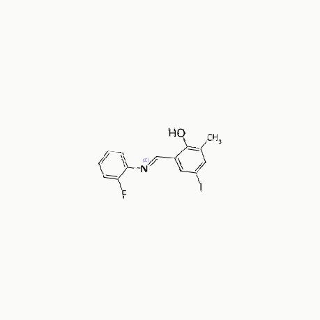 Cc1cc(I)cc(/C=N/c2ccccc2F)c1O